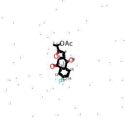 CC(=O)OC(C)c1cc2c(o1)C(=O)c1cc(F)ccc1C2=O